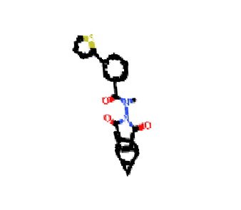 CC1=C(C)C2C3CC3C1C1C(=O)N(N(C)C(=O)c3cccc(-c4cccs4)c3)C(=O)C21